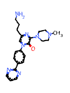 CN1CCN(c2nc(CCCN)cn(-c3ccc(-c4ncccn4)cc3)c2=O)CC1